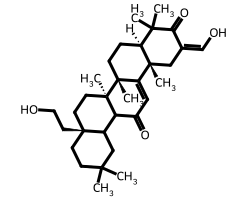 CC1(C)CC[C@]2(CCO)CC[C@]3(C)C(C(=O)C=C4[C@@]5(C)C/C(=C/O)C(=O)C(C)(C)[C@@H]5CC[C@]43C)C2C1